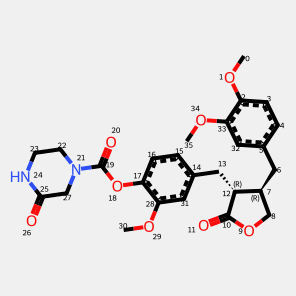 COc1ccc(C[C@H]2COC(=O)[C@@H]2Cc2ccc(OC(=O)N3CCNC(=O)C3)c(OC)c2)cc1OC